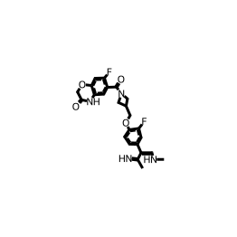 CN/C=C(\C(C)=N)c1ccc(OCC2CN(C(=O)c3cc4c(cc3F)OCC(=O)N4)C2)c(F)c1